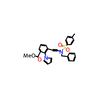 COC(=O)c1cccc(C#CN(Cc2ccccc2)S(=O)(=O)c2ccc(C)cc2)c1-n1cccc1